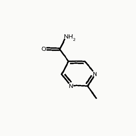 Cc1ncc(C(N)=O)cn1